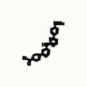 CCC(=O)N1CCN(c2cccc(Nc3nccc(-c4ccc(NC(C)=O)cc4)n3)c2)CC1